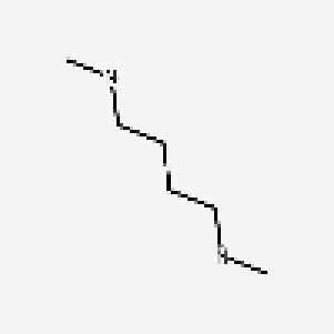 C[N]CCCC[N]C